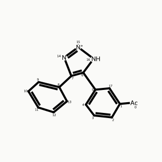 CC(=O)c1cccc(C2=C(c3ccccc3)N=[N+]N2)c1